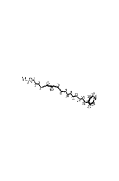 CCCCCCCCCCCCCCCCCc1ccncc1